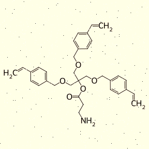 C=Cc1ccc(COCC(COCc2ccc(C=C)cc2)(COCc2ccc(C=C)cc2)OC(=O)CCN)cc1